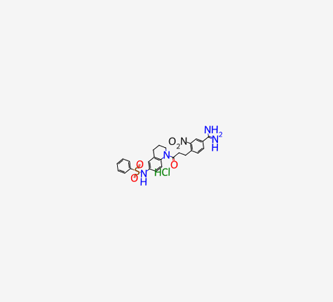 Cl.N=C(N)c1ccc(CCC(=O)N2CCCc3cc(NS(=O)(=O)c4ccccc4)ccc32)c([N+](=O)[O-])c1